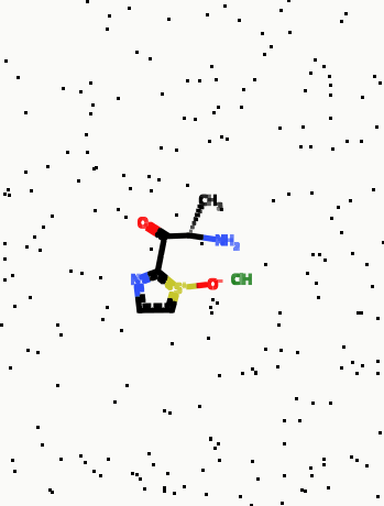 C[C@H](N)C(=O)c1ncc[s+]1[O-].Cl